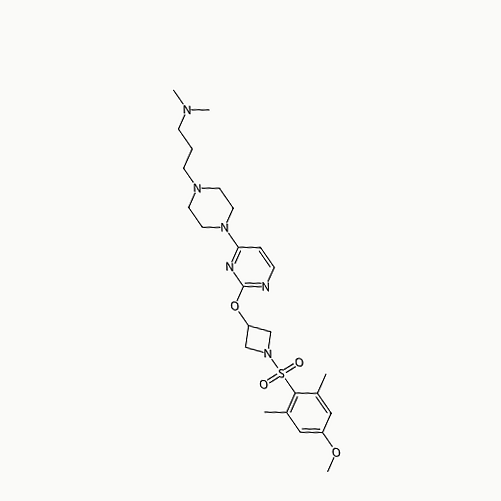 COc1cc(C)c(S(=O)(=O)N2CC(Oc3nccc(N4CCN(CCCN(C)C)CC4)n3)C2)c(C)c1